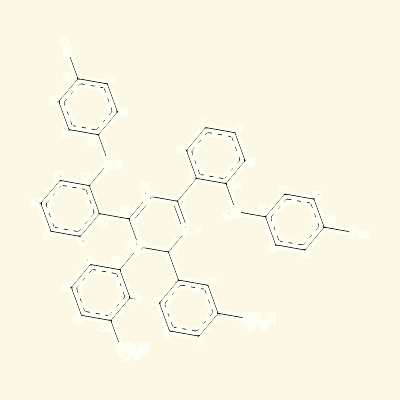 O=S(=O)(O)c1cccc(C2N=C(c3ccccc3Sc3ccc(F)cc3)N=C(c3ccccc3Sc3ccc(F)cc3)N2c2cccc(S(=O)(=O)O)c2)c1